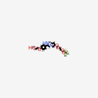 CNC(CN1CCC(OOCCOOC(F)(F)F)C1)c1ccc(OCCO)cc1